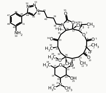 CC[C@H]1OC(=O)[C@@](C)(F)C(=O)[C@H](C)[C@@H](O[C@@H]2OC(C)CC(N(C)C)C2O)[C@](C)(OC)C[C@@H](C)C(=O)C[C@H]2N(CCCCn3cc(-c4cccc(N)c4)nn3)C(=O)O[C@]12C